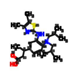 Cc1nc(Nc2cc(C(C)CC(=O)O)ccc2N(CC(C)C)CC(C)C)sc1C